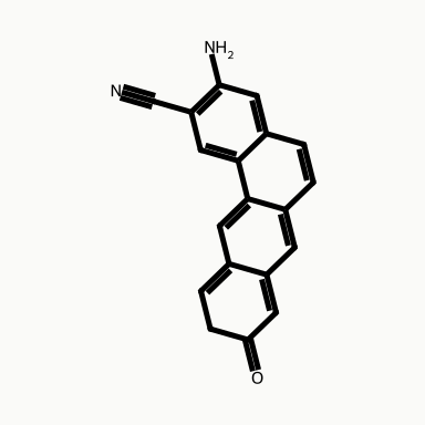 N#Cc1cc2c(ccc3cc4c(cc32)=CCC(=O)C=4)cc1N